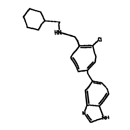 Clc1cc(-c2ccc3[nH]cnc3c2)ccc1CNCC1CCCCC1